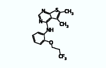 Cc1sc2ncnc(Nc3ccccc3OCCC(F)(F)F)c2c1C